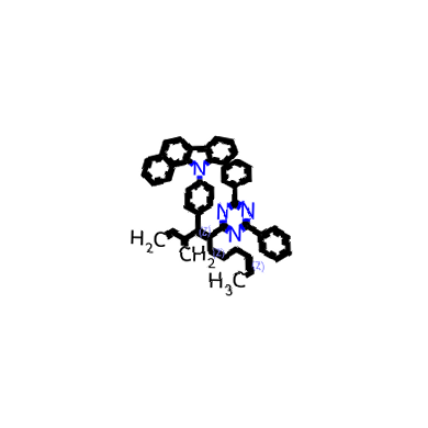 C=CC(=C)/C(=C(\C=C/C/C=C\C)c1nc(-c2ccccc2)nc(-c2ccccc2)n1)c1ccc(-n2c3ccccc3c3ccc4ccccc4c32)cc1